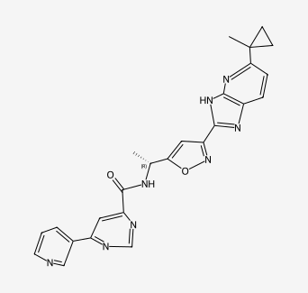 C[C@@H](NC(=O)c1cc(-c2cccnc2)ncn1)c1cc(-c2nc3ccc(C4(C)CC4)nc3[nH]2)no1